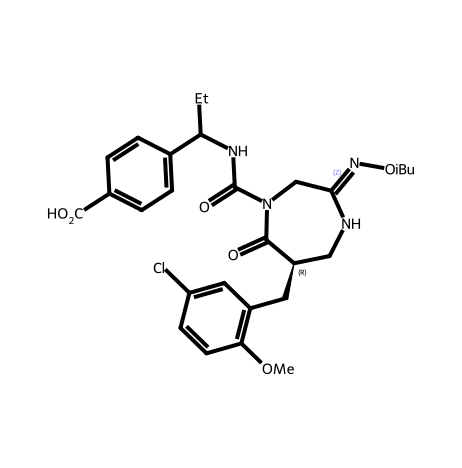 CCC(NC(=O)N1C/C(=N/OCC(C)C)NC[C@@H](Cc2cc(Cl)ccc2OC)C1=O)c1ccc(C(=O)O)cc1